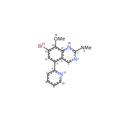 CNc1ncc2c(-c3ccccn3)cc(Br)c(OC)c2n1